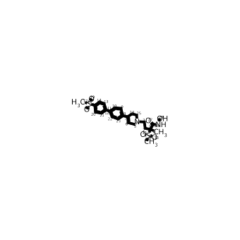 CC(CCN1CC=C(c2ccc(-c3ccc(S(C)(=O)=O)cc3)cc2)CC1)(C(=O)NO)S(C)(=O)=O